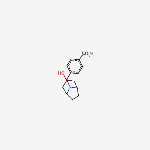 O=C(O)c1ccc(CN2C3CCC2CC(O)C3)cc1